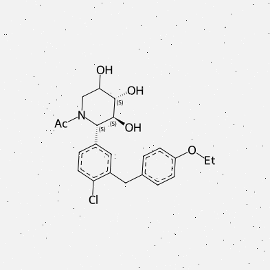 CCOc1ccc(Cc2cc([C@H]3[C@H](O)[C@@H](O)C(O)CN3C(C)=O)ccc2Cl)cc1